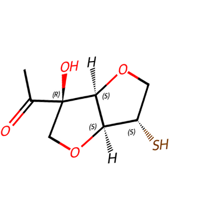 CC(=O)[C@@]1(O)CO[C@@H]2[C@@H](S)CO[C@@H]21